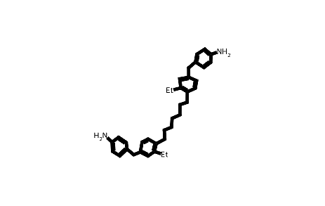 CCc1cc(Cc2ccc(N)cc2)ccc1CCCCCCCc1ccc(Cc2ccc(N)cc2)cc1CC